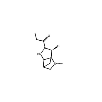 CCC(=O)N1NC2C3C[C@H]1C2N(C)C3